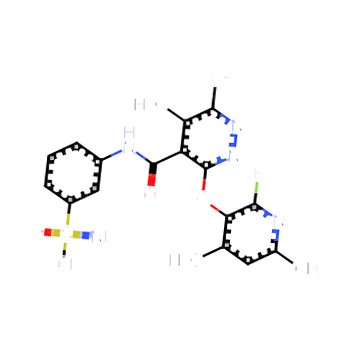 Cc1cc(C)c(Oc2nnc(C(F)(F)F)c(C)c2C(=O)Nc2cccc(S(C)(=N)=O)c2)c(F)n1